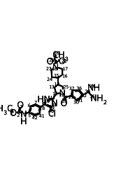 COC(=O)Nc1ccc(-c2[nH]c(C3CC(C4CCN(S(C)(=O)=O)CC4)CN3C(=O)c3ccc(C(=N)N)cc3)nc2Cl)cc1